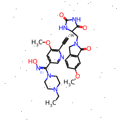 CCN1CCN(/C(=N/O)c2cnc(C#C[C@]3(CN4Cc5ccc(OC)cc5C4=O)NC(=O)NC3=O)c(OC)c2)CC1